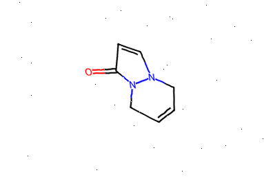 O=c1ccn2n1CC=CC2